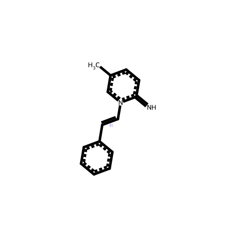 Cc1ccc(=N)n(/C=C/c2ccccc2)c1